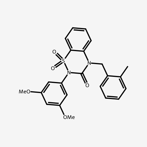 COc1cc(OC)cc(N2C(=O)N(Cc3ccccc3C)c3ccccc3S2(=O)=O)c1